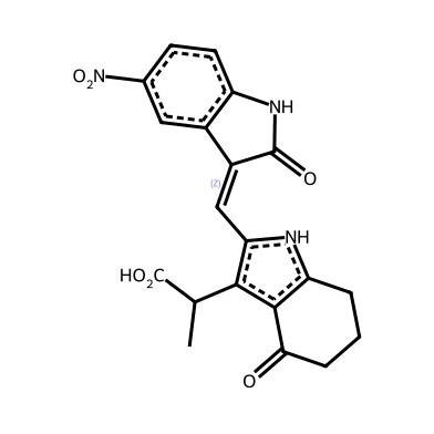 CC(C(=O)O)c1c(/C=C2\C(=O)Nc3ccc([N+](=O)[O-])cc32)[nH]c2c1C(=O)CCC2